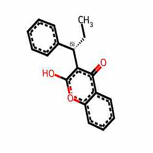 CC[C@@H](c1ccccc1)c1c(O)oc2ccccc2c1=O